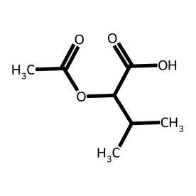 CC(=O)OC(C(=O)O)C(C)C